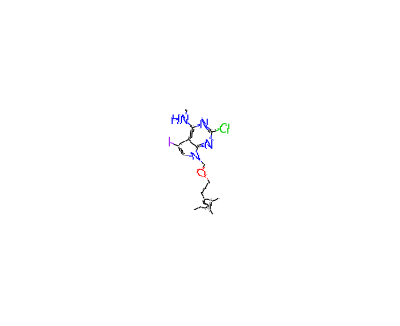 CNc1nc(Cl)nc2c1c(I)cn2COCC[Si](C)(C)C